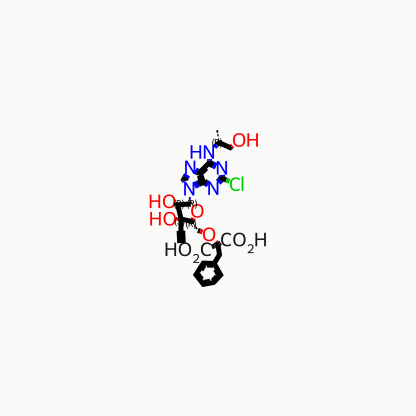 C#C[C@@]1(O)[C@@H](COC(Cc2ccccc2)(C(=O)O)C(=O)O)O[C@@H](n2cnc3c(N[C@H](C)CO)nc(Cl)nc32)[C@@H]1O